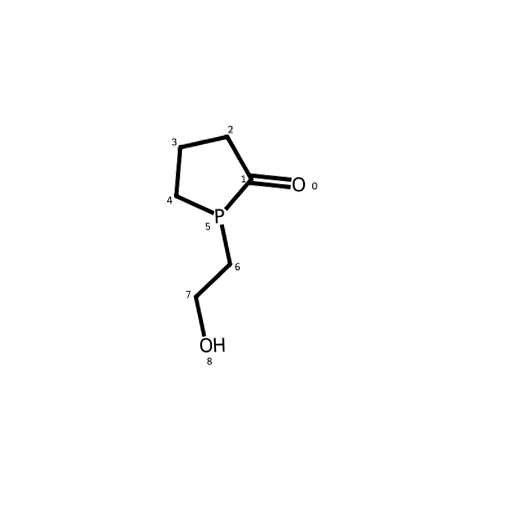 O=C1CCCP1CCO